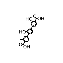 Cc1cc(-c2ccc(-c3ccc(C(=O)O)c(O)c3)cc2O)ccc1C(=O)O